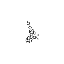 CC1=Nc2c(cc(C(c3cc4c(c(C)c3C)N=C(c3ccc(-c5ccc(C)cc5)cc3)OC4(C)C(F)(F)F)C(F)(F)F)c(C)c2C)C(C)(C(F)(F)F)O1